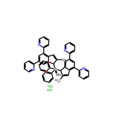 CC1=Cc2c(-c3ccccn3)cc(-c3ccccn3)cc2[CH]1[Zr](=[SiH2])([c]1ccccc1)([c]1ccccc1)[CH]1C(C)=Cc2c(-c3ccccn3)cc(-c3ccccn3)cc21.Cl.Cl